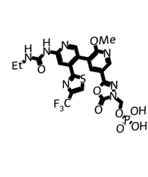 CCNC(=O)Nc1cc(-c2nc(C(F)(F)F)cs2)c(-c2cc(-c3nn(COP(=O)(O)O)c(=O)o3)cnc2OC)cn1